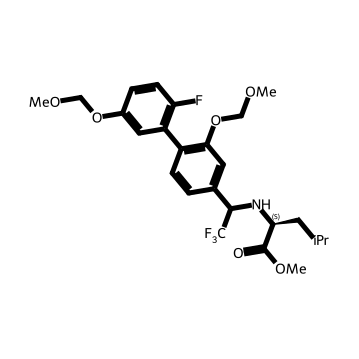 COCOc1ccc(F)c(-c2ccc(C(N[C@@H](CC(C)C)C(=O)OC)C(F)(F)F)cc2OCOC)c1